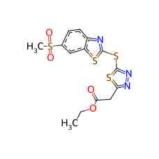 CCOC(=O)Cc1nnc(Sc2nc3ccc(S(C)(=O)=O)cc3s2)s1